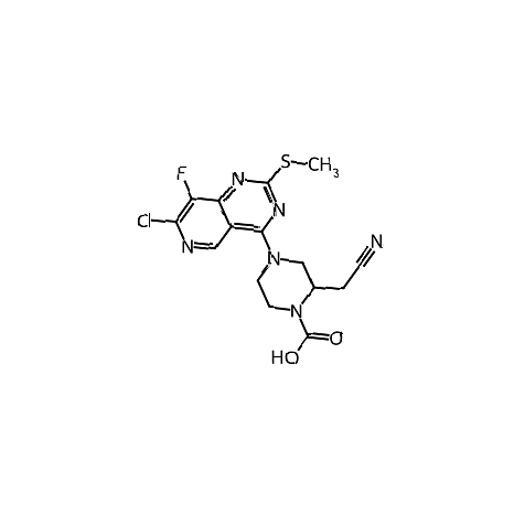 CSc1nc(N2CCN(C(=O)O)C(CC#N)C2)c2cnc(Cl)c(F)c2n1